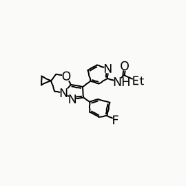 CCC(=O)Nc1cc(-c2c(-c3ccc(F)cc3)nn3c2OCC2(CC2)C3)ccn1